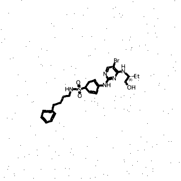 CC[C@H](CO)Nc1nc(NC2=CCC(S(=O)(=O)NCCCCc3ccccc3)C=C2)ncc1Br